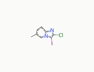 Cc1ccc2nc(Cl)c(I)n2c1